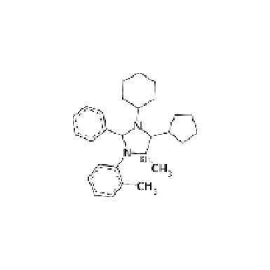 Cc1ccccc1N1C(c2ccccc2)N(C2CCCCC2)C(C2CCCC2)[C@@H]1C